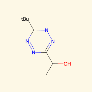 CC(O)c1nnc(C(C)(C)C)nn1